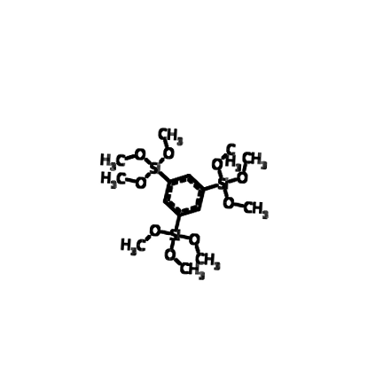 CO[Si](OC)(OC)c1cc([Si](OC)(OC)OC)cc([Si](OC)(OC)OC)c1